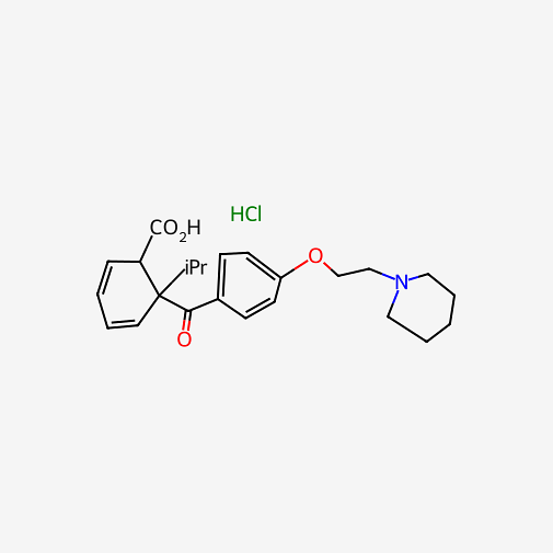 CC(C)C1(C(=O)c2ccc(OCCN3CCCCC3)cc2)C=CC=CC1C(=O)O.Cl